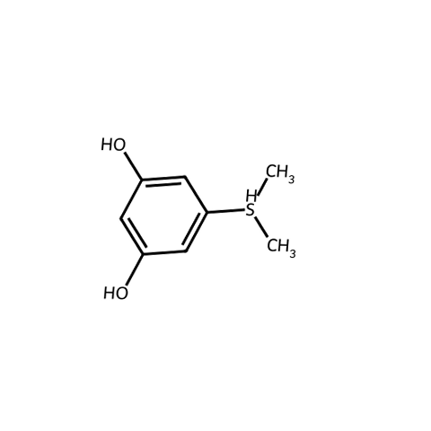 C[SH](C)c1cc(O)cc(O)c1